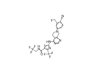 N#Cc1ccc(N2CCc3c(ncnc3Nc3nc(C(F)(F)F)c(C(=O)NCC(F)(F)F)s3)C2)cc1CF